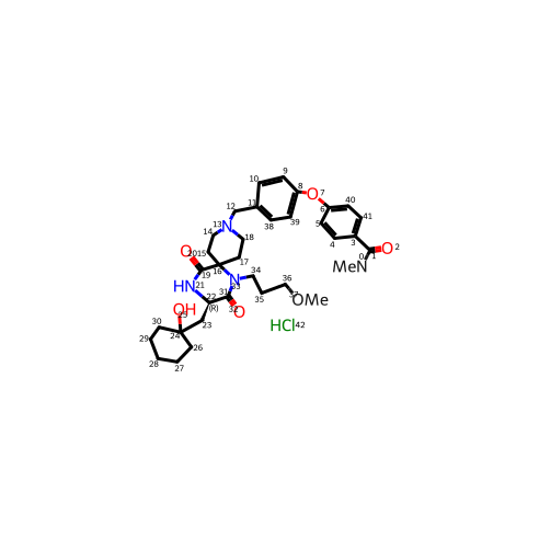 CNC(=O)c1ccc(Oc2ccc(CN3CCC4(CC3)C(=O)N[C@H](CC3(O)CCCCC3)C(=O)N4CCCOC)cc2)cc1.Cl